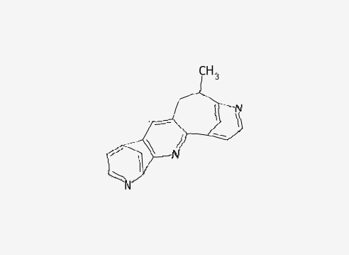 CC1Cc2[c]c3c(nc2-c2ccnc1c2)-c1cc-3ccn1